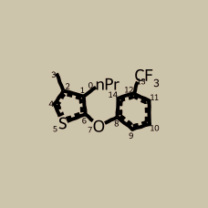 CCCc1c(C)csc1Oc1cccc(C(F)(F)F)c1